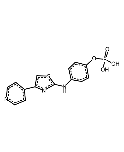 O=P(O)(O)Oc1ccc(Nc2nc(-c3ccncc3)cs2)cc1